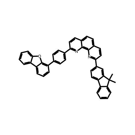 CC1(C)c2ccccc2-c2ccc(-c3ccc4ccc5ccc(-c6ccc(-c7cccc8c7oc7ccccc78)cc6)nc5c4n3)cc21